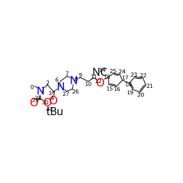 CN(CC(=O)N1CCN(CCCOC2(C#N)C=CC(c3ccccc3)C=C2)CC1)C(=O)OC(C)(C)C